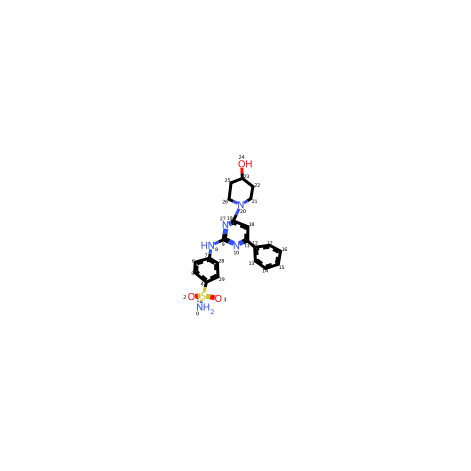 NS(=O)(=O)c1ccc(Nc2nc(-c3ccccc3)cc(N3CCC(O)CC3)n2)cc1